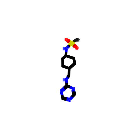 CC(C)S(=O)(=O)NC1CCC(CNc2ncncn2)CC1